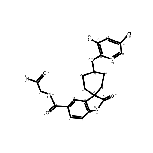 NC(=O)CNC(=O)c1ccc2c(c1)C1(CCC(Oc3ncc(Cl)cc3Cl)CC1)C(=O)N2